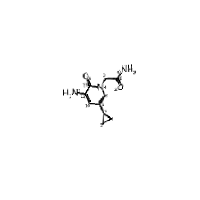 NC(=O)Cn1cc(C2CC2)cc(N)c1=O